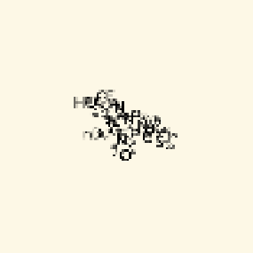 CCCCOC1CC2COCC1N2C[C@H]1CN(S(=O)(=O)c2cccs2)CCN1c1ncc(C(C)(O)C(F)(F)F)cn1